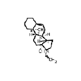 C=C[C@H]1CC[C@H]2[C@@H]3CC=C4CCCC[C@]4(C)[C@H]3CC[C@]12C